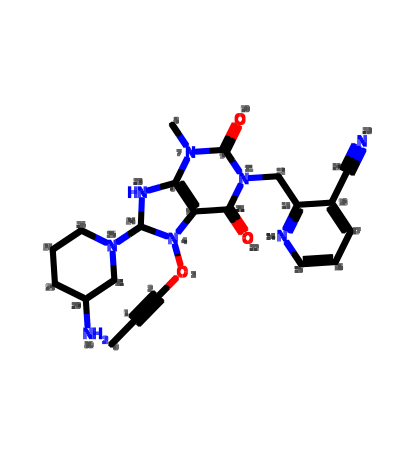 CC#CON1c2c(n(C)c(=O)n(Cc3ncccc3C#N)c2=O)NC1N1CCCC(N)C1